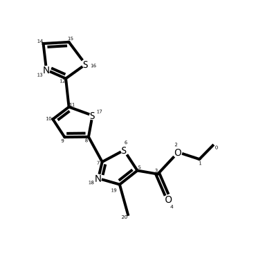 CCOC(=O)c1sc(-c2ccc(-c3nccs3)s2)nc1C